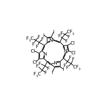 FC(F)(F)C(F)(F)C(F)(F)C1=C2N=C(C(Cl)=C2Cl)C(C(F)(F)C(F)(F)C(F)(F)F)=C2N=C(C(I)=C2I)C(C(F)(F)C(F)(F)C(F)(F)F)=C2N=C(C(Cl)=C2Cl)C(C(F)(F)C(F)(F)C(F)(F)F)=C2N=C1C(I)=C2I